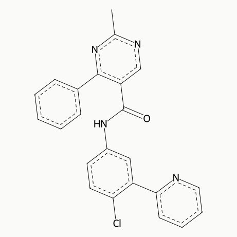 Cc1ncc(C(=O)Nc2ccc(Cl)c(-c3ccccn3)c2)c(-c2ccccc2)n1